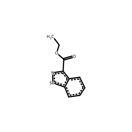 CCOC(=O)c1n[se]c2ccccc12